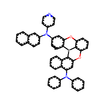 c1ccc(N(c2ccccc2)c2cc3c(c4ccccc24)B2c4c(cccc4Oc4cc(N(c5ccncc5)c5ccc6ccccc6c5)c5ccccc5c42)O3)cc1